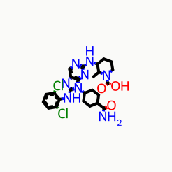 CC1C(Nc2ncc3nc(Nc4c(Cl)cccc4Cl)n(C4CCC(C(N)=O)CC4)c3n2)CCCN1C(=O)O